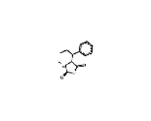 CCC(c1ccccc1)C1C(=O)OC(=O)[C@@H]1C